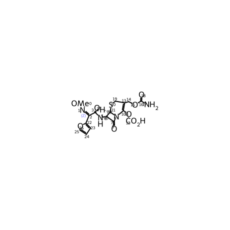 CO/N=C(\C(=O)N[C@@H]1C(=O)N2C(OC(=O)O)=C(COC(N)=O)CS[C@H]12)c1ccco1